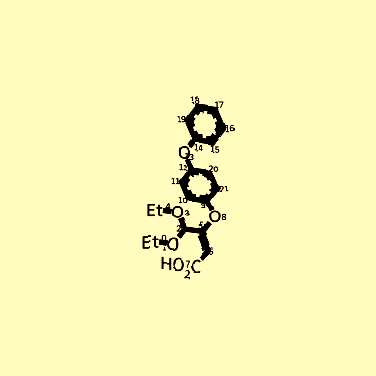 CCOC(OCC)C(=CC(=O)O)Oc1ccc(Oc2ccccc2)cc1